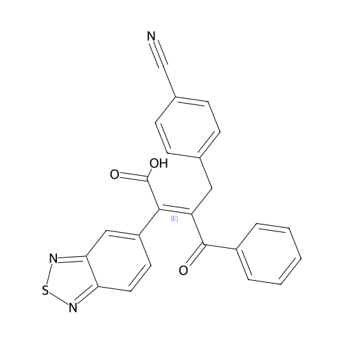 N#Cc1ccc(C/C(C(=O)c2ccccc2)=C(\C(=O)O)c2ccc3nsnc3c2)cc1